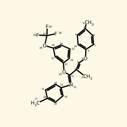 CC(=C\Oc1ccc(C)cc1)/C(=N/c1ccc(C)cc1)Oc1cccc(OC(F)(F)F)c1